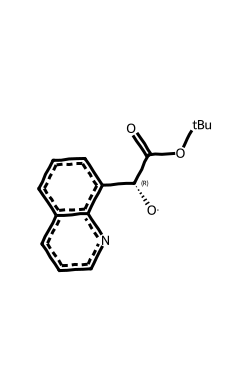 CC(C)(C)OC(=O)[C@H]([O])c1cccc2cccnc12